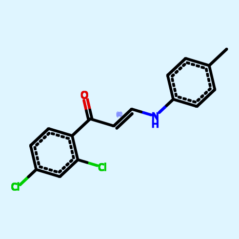 Cc1ccc(N/C=C/C(=O)c2ccc(Cl)cc2Cl)cc1